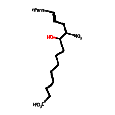 CCCCC/C=C/CC(C(O)CCCCCCCC(=O)O)[N+](=O)[O-]